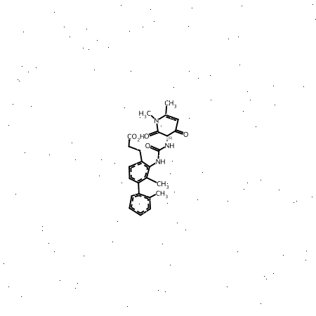 CC1=CC(=O)[C@H](NC(=O)Nc2c(CCC(=O)O)ccc(-c3ccccc3C)c2C)C(=O)N1C